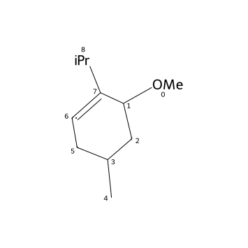 COC1CC(C)C[C]=C1C(C)C